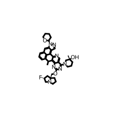 CC1c2c(ncc3c(N4CCC[C@@](C)(O)C4)nc(OC[C@@]45CCCN4C[C@H](F)C5)nc23)-c2c3cnn(C4CCCCO4)c3cc3cccc1c23